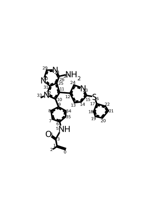 C=C(C)C(=O)Nc1ccc(-c2c(-c3ccc(Sc4ccccc4)nc3)c3c(N)ncnc3n2C)cc1